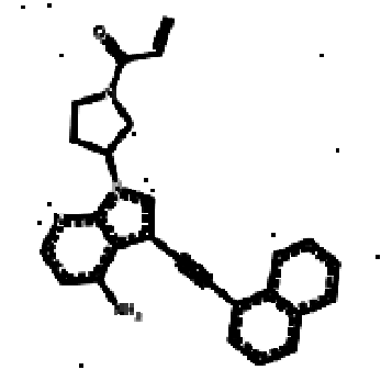 C=CC(=O)N1CCC(n2cc(C#Cc3cccc4ccccc34)c3c(N)ccnc32)C1